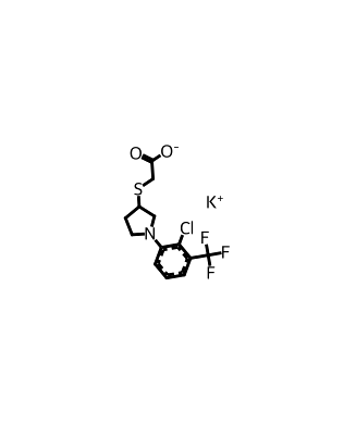 O=C([O-])CSC1CCN(c2cccc(C(F)(F)F)c2Cl)C1.[K+]